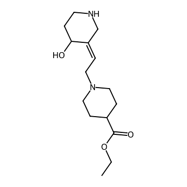 CCOC(=O)C1CCN(CC=C2CNCCC2O)CC1